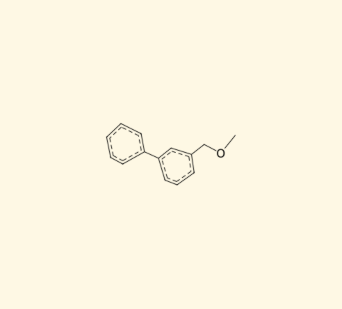 COCc1cccc(-c2ccccc2)c1